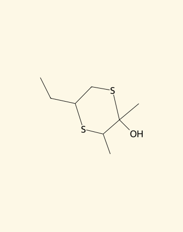 CCC1CSC(C)(O)C(C)S1